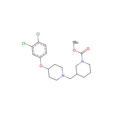 CC(C)(C)OC(=O)N1CCCC(CN2CCC(Oc3ccc(Cl)c(Cl)c3)CC2)C1